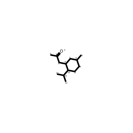 CC(=O)CC1CC(C)CCC1C(C)C